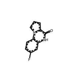 O=c1[nH]c2cc(F)ccc2n2cccc12